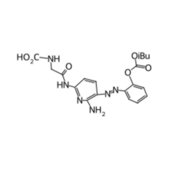 CC(C)COC(=O)Oc1ccccc1N=Nc1ccc(NC(=O)CNC(=O)O)nc1N